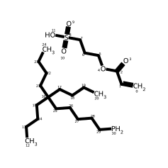 C=CC(=O)OCCCS(=O)(=O)O.CCCCC(CCCC)(CCCC)CCCCCP